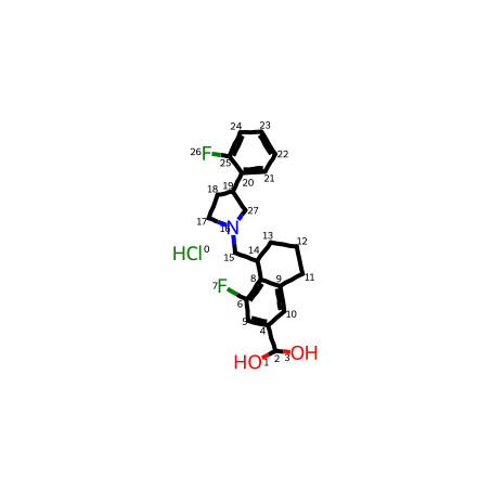 Cl.OC(O)c1cc(F)c2c(c1)CCCC2CN1CCC(c2ccccc2F)C1